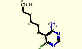 Nc1ncnc(Cl)c1CCCCCC(=O)O